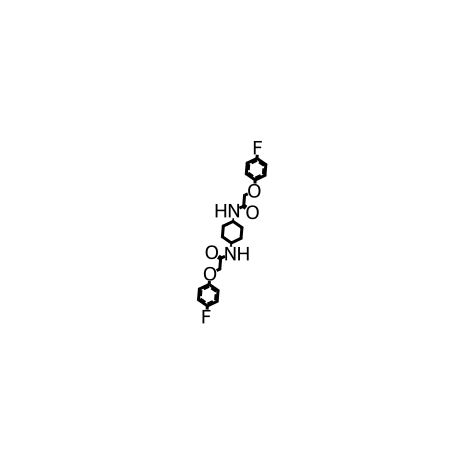 O=C(COc1ccc(F)cc1)N[C@H]1CC[C@H](NC(=O)COc2ccc(F)cc2)CC1